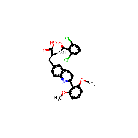 COc1cccc(OC)c1-c1ccc2cc(C[C@H]([AsH]C(=O)c3c(Cl)cccc3Cl)C(=O)O)ccc2n1